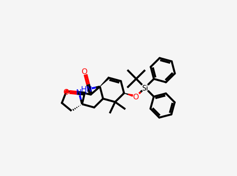 CC1(C)C2C[C@@]34CCCN3C(=O)[C@]2(C=C[C@H]1O[Si](c1ccccc1)(c1ccccc1)C(C)(C)C)NC4=O